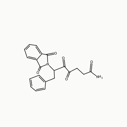 NC(=O)CCC(=O)C(=O)C(Cc1ccccc1)N1C(=O)c2ccccc2C1=O